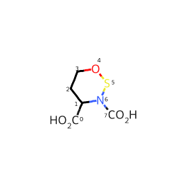 O=C(O)C1CCOSN1C(=O)O